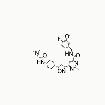 COc1cc(CNC(=O)c2cc(C3=NOC([C@H]4CC[C@H](NC(=O)CN(C)C)CC4)C3)nc(C)n2)ccc1F